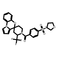 O=C(c1ccc(S(=O)(=O)[C@H]2CCOC2)cc1)N1CCC2(CC1C(F)(F)F)Oc1ccccc1-n1cccc12